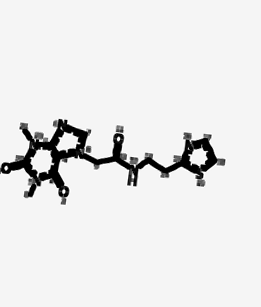 Cn1c(=O)c2c(ncn2CC(=O)NCCc2nccs2)n(C)c1=O